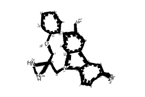 Brc1ccc2c(c1)c1cc(Br)ccc1n2CC1(COc2ccccc2)NN1